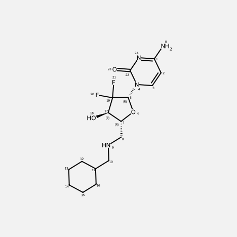 Nc1ccn([C@@H]2O[C@H](CNCC3CCCCC3)[C@@H](O)C2(F)F)c(=O)n1